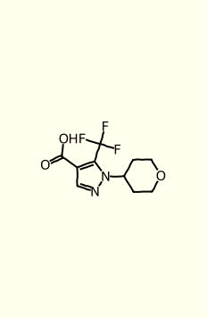 O=C(O)c1cnn(C2CCOCC2)c1C(F)(F)F